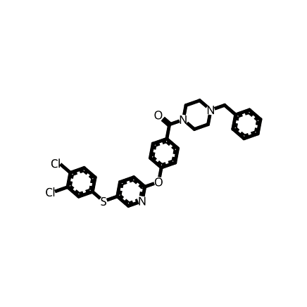 O=C(c1ccc(Oc2ccc(Sc3ccc(Cl)c(Cl)c3)cn2)cc1)N1CCN(Cc2ccccc2)CC1